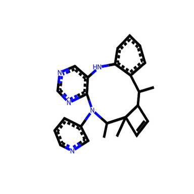 CC1c2ccccc2Nc2cncnc2N(c2cccnc2)C(C)C2(C)C=CC12